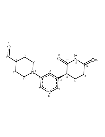 O=CC1CCN(c2cncc([C@@H]3CCC(=O)NC3=O)c2)CC1